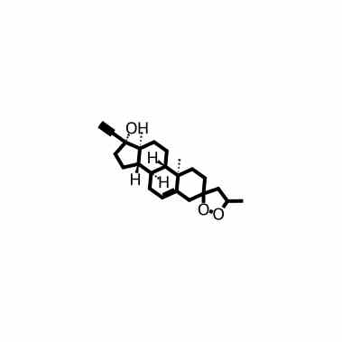 C#C[C@]1(O)CC[C@H]2[C@@H]3CC=C4CC5(CC[C@]4(C)[C@H]3CC[C@@]21C)CC(C)OO5